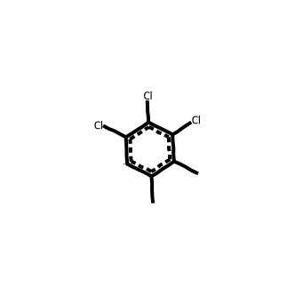 Cc1[c]c(Cl)c(Cl)c(Cl)c1C